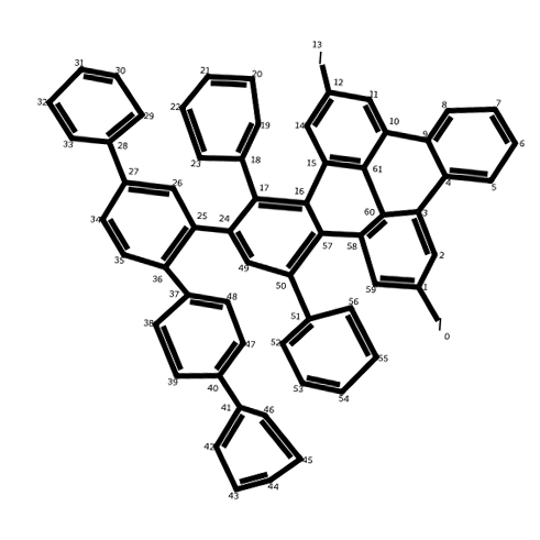 Ic1cc2c3ccccc3c3cc(I)cc4c5c(-c6ccccc6)c(-c6cc(-c7ccccc7)ccc6-c6ccc(-c7ccccc7)cc6)cc(-c6ccccc6)c5c(c1)c2c34